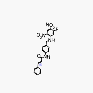 O=C(/C=C/c1ccccc1)Nc1ccc(CNc2cc(F)c([N+](=O)[O-])cc2[N+](=O)[O-])cc1